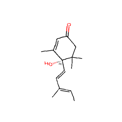 CC=C(C)C=C[C@@]1(O)C(C)=CC(=O)CC1(C)C